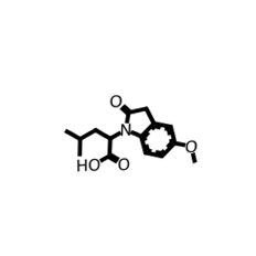 COc1ccc2c(c1)CC(=O)N2C(CC(C)C)C(=O)O